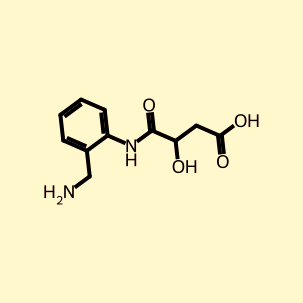 NCc1ccccc1NC(=O)C(O)CC(=O)O